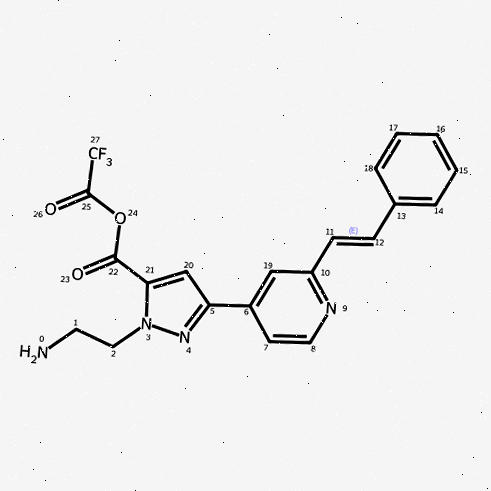 NCCn1nc(-c2ccnc(/C=C/c3ccccc3)c2)cc1C(=O)OC(=O)C(F)(F)F